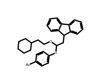 CCC(C)c1ccc(OC(CC2c3ccccc3-c3ccccc32)OCCC2CCCCC2)cc1